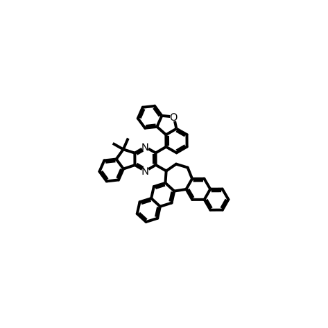 CC1(C)c2ccccc2-c2nc(C3CCc4cc5ccccc5cc4-c4cc5ccccc5cc43)c(-c3cccc4oc5ccccc5c34)nc21